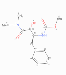 CON(C)C(=O)[C@H](O)[C@H](Cc1ccccc1)NC(=O)OC(C)(C)C